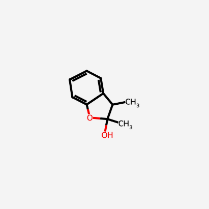 CC1c2ccccc2OC1(C)O